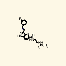 CC(=O)NCCNC(=O)c1ccc2[nH]nc(/C=C/c3cccc(F)c3)c2n1